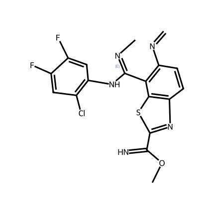 C=Nc1ccc2nc(C(=N)OC)sc2c1/C(=N\C)Nc1cc(F)c(F)cc1Cl